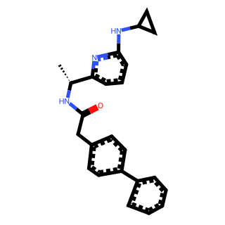 C[C@@H](NC(=O)Cc1ccc(-c2ccccc2)cc1)c1cccc(NC2CC2)n1